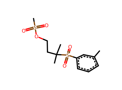 Cc1cccc(S(=O)(=O)C(C)(C)CCOS(C)(=O)=O)c1